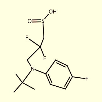 CC(C)(C)N(CC(F)(F)CS(=O)O)c1ccc(F)cc1